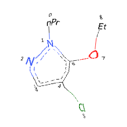 CCCn1n[c]c(Cl)c1OCC